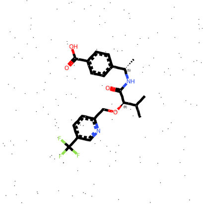 CC(C)[C@@H](OCc1ccc(C(F)(F)F)cn1)C(=O)N[C@@H](C)c1ccc(C(=O)O)cc1